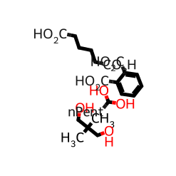 CC(C)(CO)CO.CCCCCC(O)O.O=C(O)CCCCC(=O)O.O=C(O)c1ccccc1C(=O)O